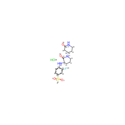 CS(=O)(=O)c1ccc(NC2CCCN([C@H]3CCNC(=O)C3)C2=O)c(F)c1.Cl